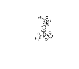 CC(C)(C)OC(=O)NS(=O)(=O)c1ccc(Nc2cn(-c3c(Cl)cccc3Cl)nc2C(N)=O)cc1